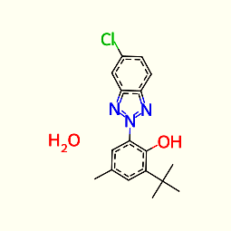 Cc1cc(-n2nc3ccc(Cl)cc3n2)c(O)c(C(C)(C)C)c1.O